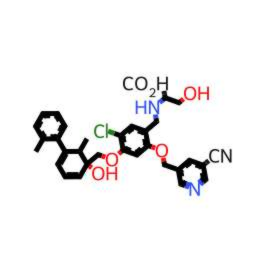 Cc1ccccc1C1=CC=CC(O)(COc2cc(OCc3cncc(C#N)c3)c(CNC(CO)C(=O)O)cc2Cl)C1C